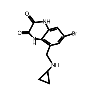 O=c1[nH]c2cc(Br)cc(CN[C]3CC3)c2[nH]c1=O